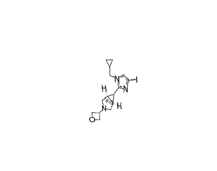 Ic1cn(CC2CC2)c(C2[C@H]3CN(C4COC4)C[C@@H]23)n1